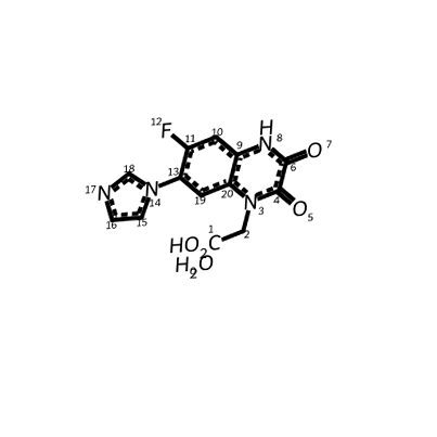 O.O=C(O)Cn1c(=O)c(=O)[nH]c2cc(F)c(-n3ccnc3)cc21